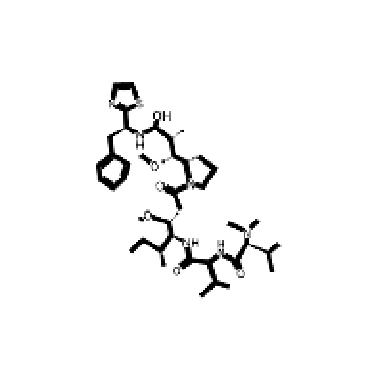 CC[C@H](C)[C@H](NC(=O)C(NC(=O)[C@H](C(C)C)N(C)C)C(C)C)[C@@H](CC(=O)N1CCC[C@H]1[C@H](OC)[C@@H](C)C(O)N[C@@H](Cc1ccccc1)c1nccs1)OC